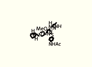 COc1c(Nc2cc(C)[nH]n2)nc(Sc2ccc(NC(C)=O)cc2)nc1N1CCN(CCN2[C@@H]3CCC[C@H]2CC3)CC1